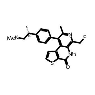 CNC[C@H](C)c1ccc(-c2c(C)nc(CF)c3[nH]c(=O)c4sccc4c23)cc1